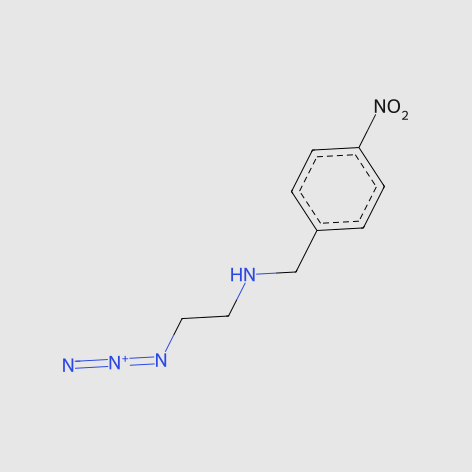 [N-]=[N+]=NCCNCc1ccc([N+](=O)[O-])cc1